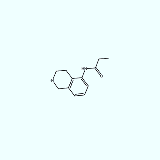 CCC(=O)Nc1cccc2c1CC[N]C2